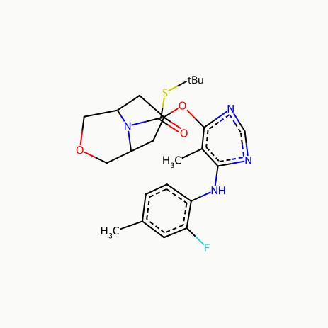 Cc1ccc(Nc2ncnc(OC3CC4COCC(C3)N4C(=O)SC(C)(C)C)c2C)c(F)c1